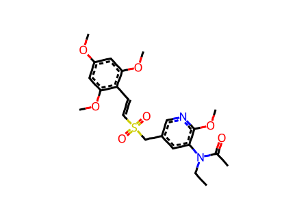 CCN(C(C)=O)c1cc(CS(=O)(=O)C=Cc2c(OC)cc(OC)cc2OC)cnc1OC